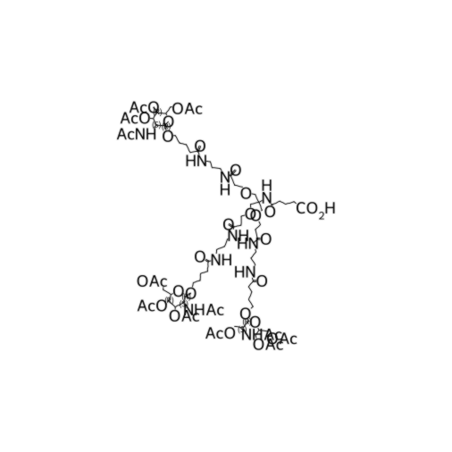 CC(=O)N[C@@H](COC(C)=O)[C@H](OCCCCC(=O)NCCCNC(=O)CCOCC(COCCC(=O)NCCCNC(=O)CCCCO[C@@H]1OC(COC(C)=O)[C@H](OC(C)=O)C(OC(C)=O)[C@@H]1NC(C)=O)(COCCC(=O)NCCCNC(=O)CCCCO[C@@H]1OC(COC(C)=O)[C@H](OC(C)=O)C(OC(C)=O)[C@@H]1NC(C)=O)NC(=O)CCCC(=O)O)OC(COC(C)=O)COC(C)=O